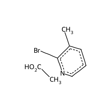 CC(=O)O.Cc1cccnc1Br